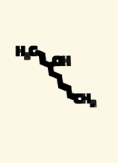 C=CC=CCCC(O)C=CC